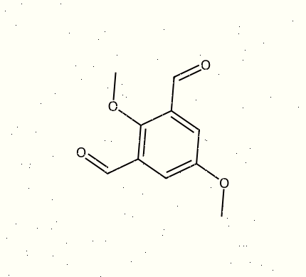 COc1cc(C=O)c(OC)c(C=O)c1